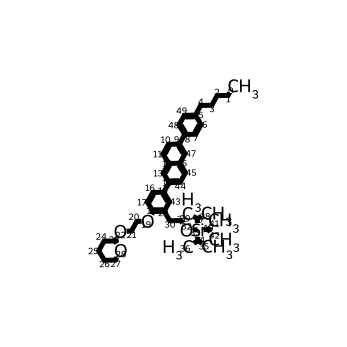 CCCCCc1ccc(-c2ccc3cc(-c4ccc(OCCOC5CCCCO5)c(CCO[Si](C(C)C)(C(C)C)C(C)C)c4)ccc3c2)cc1